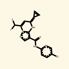 O=C(Nc1ccc(Cl)cn1)c1cnn2c1NC(=C1C=C1)C=C2C(F)F